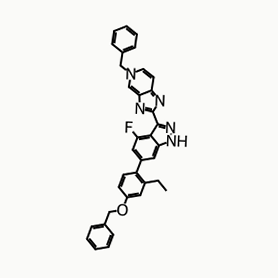 CCc1cc(OCc2ccccc2)ccc1-c1cc(F)c2c(-c3nc4ccn(Cc5ccccc5)cc-4n3)n[nH]c2c1